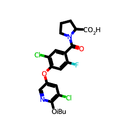 CC(C)COc1ncc(Oc2cc(F)c(C(=O)N3CCCC3C(=O)O)cc2Cl)cc1Cl